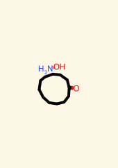 NO.O=C1CCCCCCCCCCC1